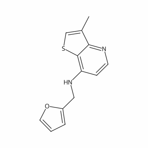 Cc1csc2c(NCc3ccco3)ccnc12